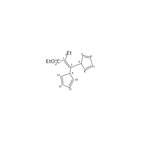 CCOC(=O)C(CC)=C(C1C=CC=C1)C1C=CC=C1